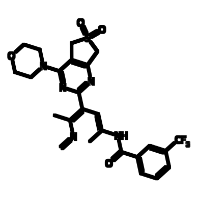 C=N/C(C)=C(\C=C(/C)NC(=O)c1cccc(C(F)(F)F)c1)c1nc2c(c(N3CCOCC3)n1)CS(=O)(=O)C2